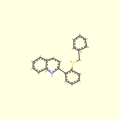 [c]1cccc(-c2ccc3ccccc3n2)c1SCc1ccccc1